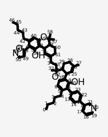 CCCCCc1cc2c(c(O)c1-c1ccc(-c3cccnc3)cc1)C1C=C(C)CCC1C(C)(CCC1=CC3c4c(cc(CCCCC)c(-c5ccno5)c4O)OC(C)(C)C3CC1)O2